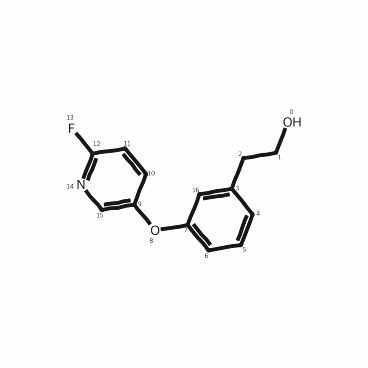 OCCc1cccc(Oc2ccc(F)nc2)c1